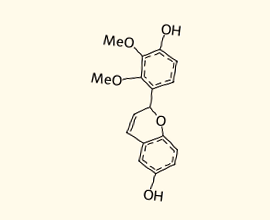 COc1c(O)ccc(C2C=Cc3cc(O)ccc3O2)c1OC